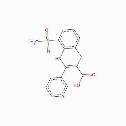 CS(=O)(=O)c1cccc2c1NC(c1cccnc1)=C(C(=O)O)C2